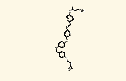 CC(CCO)Oc1ccc(C=Nc2ccc(Oc3ccc(/N=C\c4ccc(OCCC5CO5)cc4)cc3)cc2)cc1